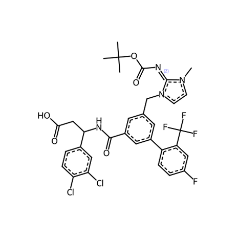 Cn1ccn(Cc2cc(C(=O)NC(CC(=O)O)c3ccc(Cl)c(Cl)c3)cc(-c3ccc(F)cc3C(F)(F)F)c2)/c1=N\C(=O)OC(C)(C)C